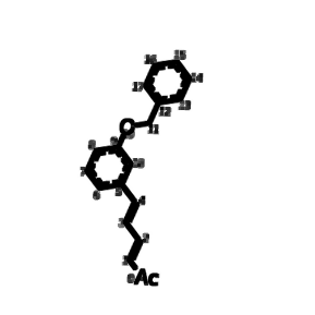 CC(=O)/C=C/C=C/c1cccc(OCc2ccccc2)c1